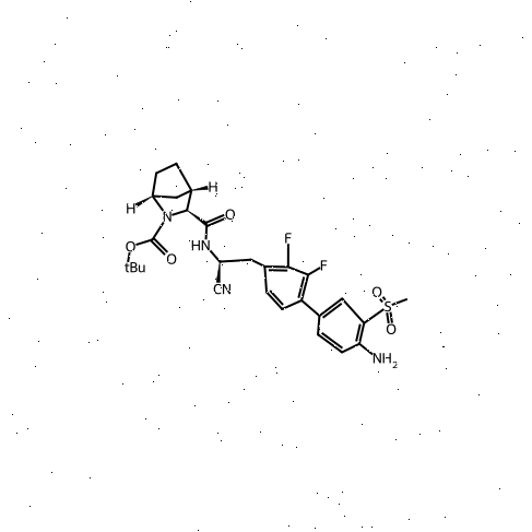 CC(C)(C)OC(=O)N1[C@@H]2CC[C@@H](C2)[C@H]1C(=O)N[C@H](C#N)Cc1ccc(-c2ccc(N)c(S(C)(=O)=O)c2)c(F)c1F